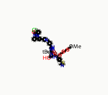 COCCOCCOCCOC[C@H](NC(=O)[C@@H]1C[C@@H](O)CN1C(=O)[C@@H](n1cc(C2CCC(CN3CCC(c4ccc5c(c4)-n4c(nc(=O)c6c(Cl)cccc64)C54CCCCC4)CC3)CC2)nn1)C(C)(C)C)c1ccc(-c2scnc2C)cc1